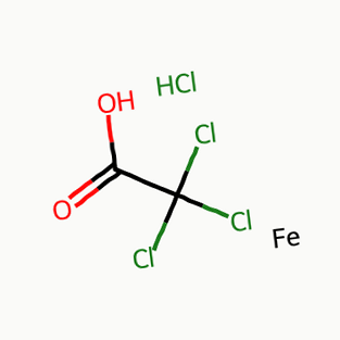 Cl.O=C(O)C(Cl)(Cl)Cl.[Fe]